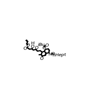 C=CCOC(=O)CC(O)CC(=O)CCC1C(C)C(=O)C=C2C(=NOCCCCCCC)CCC(OC(=O)C(C)CC)C21